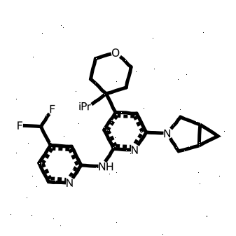 CC(C)C1(c2cc(Nc3cc(C(F)F)ccn3)nc(N3CC4CC4C3)c2)CCOCC1